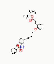 CC(C)OC(=O)CCc1ccccc1OCCCC#Cc1cccc(NS(=O)(=O)c2ccccc2)c1